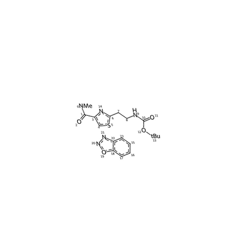 CNC(=O)c1csc(CCNC(=O)OC(C)(C)C)n1.c1ccc2onnc2c1